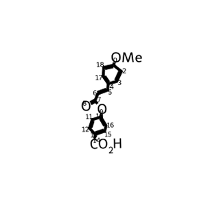 COc1ccc(C=CC(=O)Oc2ccc(C(=O)O)cc2)cc1